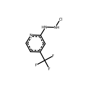 FC(F)(F)c1ccnc(NNCl)c1